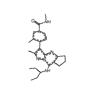 CCC(CC)Nc1c2c(nc3c(-c4ccc(C(=O)NC)cc4C)c(C)nn13)CCC2